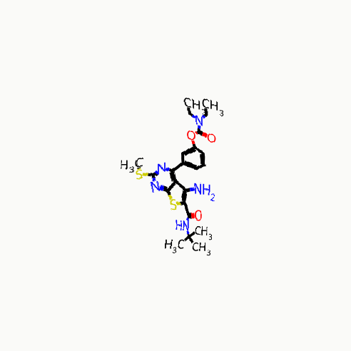 CCN(CC)C(=O)Oc1cccc(-c2nc(SC)nc3sc(C(=O)NC(C)(C)C)c(N)c23)c1